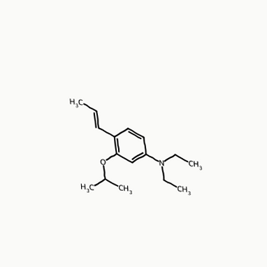 CC=Cc1ccc(N(CC)CC)cc1OC(C)C